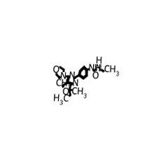 CCNC(=O)Nc1ccc(-c2nc(N3CCOCC3C)c3c(n2)C(C)(CC)OC3)cc1